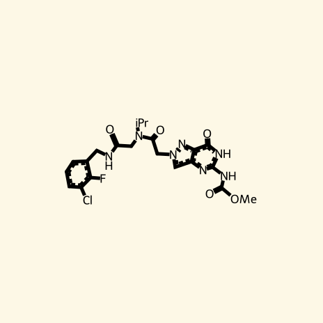 COC(=O)Nc1nc2cn(CC(=O)N(CC(=O)NCc3cccc(Cl)c3F)C(C)C)nc2c(=O)[nH]1